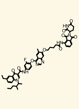 CCCC(C)C(C)n1cc(C(=O)Nc2ccc(Oc3ncnc4cc(OCCCCC(=O)Nc5cccc6c5C(=O)N(C5CCC(=O)NC5=O)C6=O)c(C)cc34)c(F)c2)c(=O)c2cc(CC)ccc21